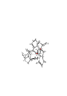 O=C(c1nccc2ccccc12)N1[C@H]2CC[C@H](c3cc(C(F)F)nc4ncnn34)[C@@H]1CC2